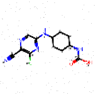 N#Cc1ncc(NC2CCC(NC(=O)O)CC2)nc1Cl